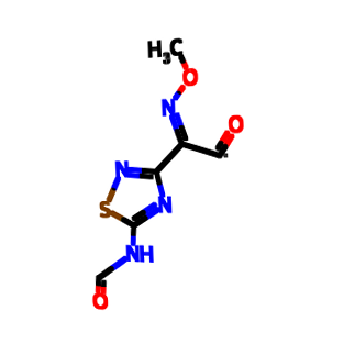 CON=C([C]=O)c1nsc(NC=O)n1